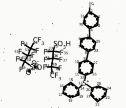 Ic1ccc(-c2ccc(-c3ccc([S+](c4ccccc4)c4ccccc4)cc3)cc2)cc1.O=S(=O)(O)C(F)(F)C(F)(F)C(F)(F)C(F)(F)F.O=S(=O)([O-])C(F)(F)C(F)(F)C(F)(F)C(F)(F)F